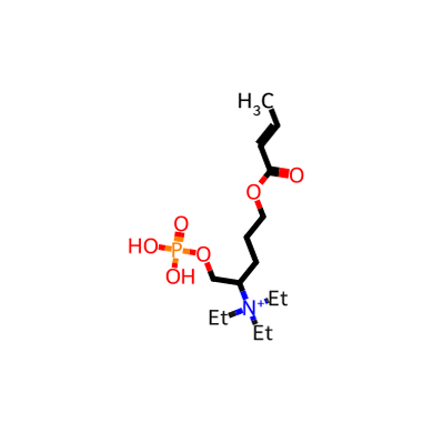 CC=CC(=O)OCCCC(COP(=O)(O)O)[N+](CC)(CC)CC